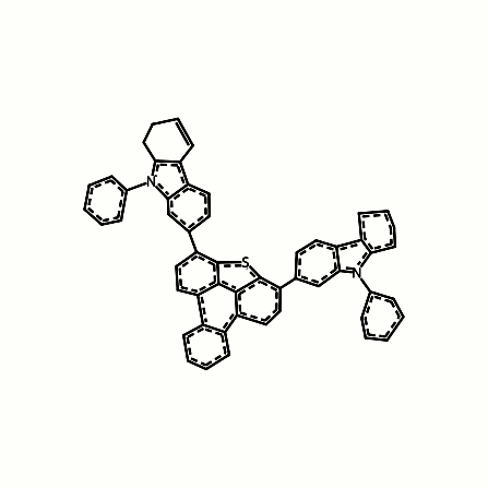 C1=Cc2c(n(-c3ccccc3)c3cc(-c4ccc5c6ccccc6c6ccc(-c7ccc8c9ccccc9n(-c9ccccc9)c8c7)c7sc4c5c76)ccc23)CC1